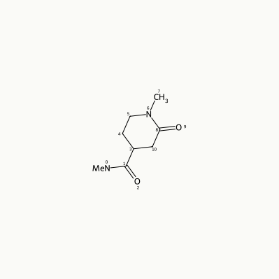 CNC(=O)C1CCN(C)C(=O)C1